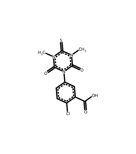 Cn1c(=S)n(C)c(=O)n(-c2ccc(Cl)c(C(=O)O)c2)c1=O